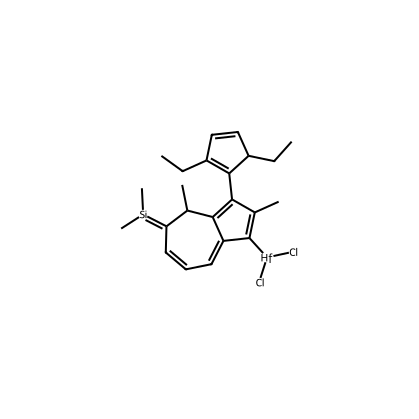 CCC1=C(C2=C3C(=CC=CC(=[Si](C)C)C3C)[C]([Hf]([Cl])[Cl])=C2C)C(CC)C=C1